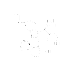 CCOc1cnc2c(C(=O)N3CCNCC3)c(Oc3c(C)cccc3C)n(-c3ccccc3)c2c1.Cl.Cl